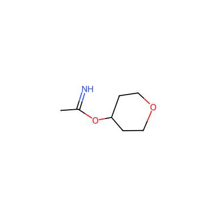 CC(=N)OC1CCOCC1